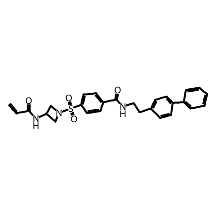 C=CC(=O)NC1CN(S(=O)(=O)c2ccc(C(=O)NCCc3ccc(-c4ccccc4)cc3)cc2)C1